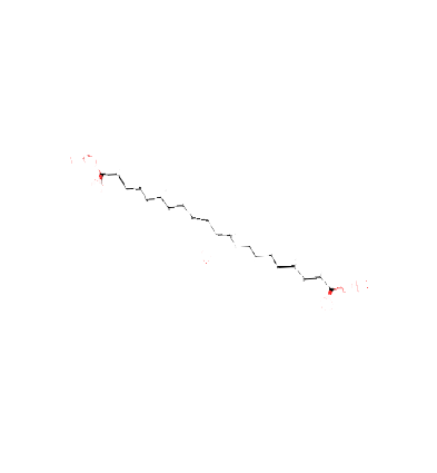 O.O=C(O)CCCCCCCCCCCCCCCCCCCC(=O)O